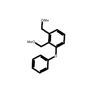 COCc1cccc(Oc2ccccc2)c1COC